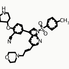 Cc1ccc(S(=O)(=O)n2cc(-c3ccc(OC4CCNCC4)c(C#N)c3)c3cc(C=CCN4CCOCC4)cnc32)cc1